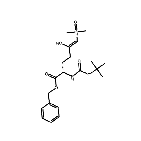 CC(C)(C)OC(=O)N[C@@H](CC/C(O)=C/[SH](C)(C)=O)C(=O)OCc1ccccc1